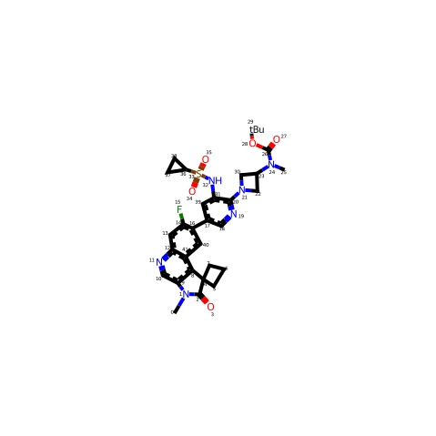 CN1C(=O)C2(CCC2)c2c1cnc1cc(F)c(-c3cnc(N4CC(N(C)C(=O)OC(C)(C)C)C4)c(NS(=O)(=O)C4CC4)c3)cc21